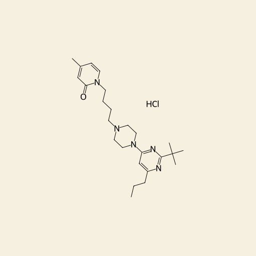 CCCc1cc(N2CCN(CCCCn3ccc(C)cc3=O)CC2)nc(C(C)(C)C)n1.Cl